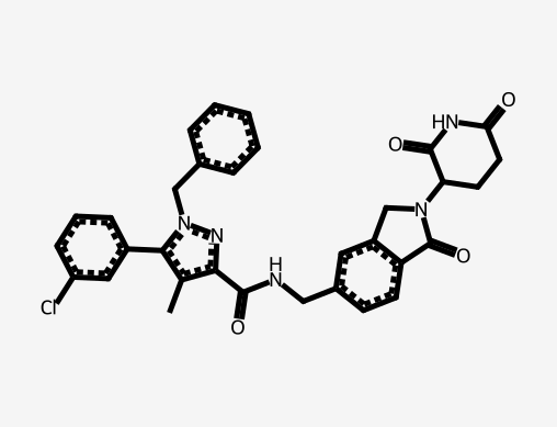 Cc1c(C(=O)NCc2ccc3c(c2)CN(C2CCC(=O)NC2=O)C3=O)nn(Cc2ccccc2)c1-c1cccc(Cl)c1